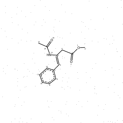 COC(=O)C/C(=C/c1ccccc1)NC(C)=O